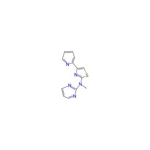 CN(c1ncccn1)c1nc(-c2ccccn2)cs1